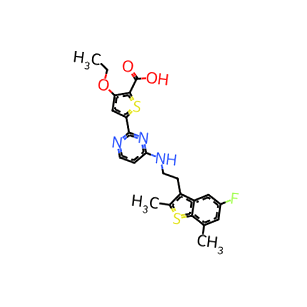 CCOc1cc(-c2nccc(NCCc3c(C)sc4c(C)cc(F)cc34)n2)sc1C(=O)O